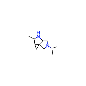 CC1NC2CN(C(C)C)CC23CC13